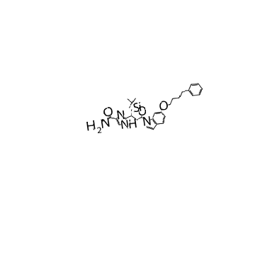 CC(CC(O[Si](C)(C)C(C)(C)C)n1ccc2ccc(OCCCCc3ccccc3)cc21)c1nc(C(N)=O)c[nH]1